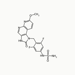 COc1ccc2c(ncc3[nH]c(=O)n(Cc4c(F)cc(NS(N)(=O)=O)cc4F)c32)n1